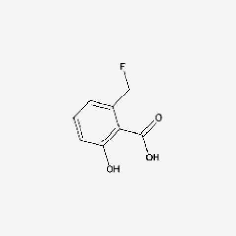 O=C(O)c1c(O)cccc1CF